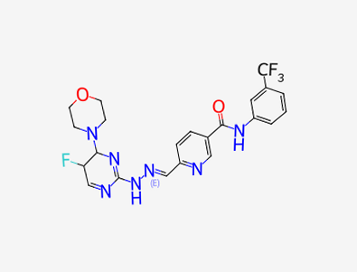 O=C(Nc1cccc(C(F)(F)F)c1)c1ccc(/C=N/NC2=NC(N3CCOCC3)C(F)C=N2)nc1